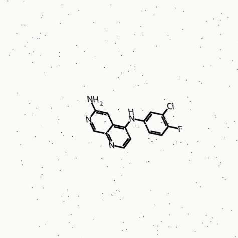 Nc1cc2c(Nc3ccc(F)c(Cl)c3)ccnc2cn1